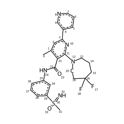 Cc1cc(-c2cccnc2)nc(N2CCCC(F)(F)CC2)c1C(=O)Nc1cccc(S(C)(=N)=O)c1